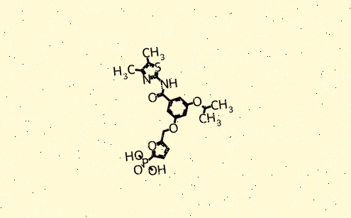 Cc1nc(NC(=O)c2cc(OCc3ccc(P(=O)(O)O)o3)cc(OC(C)C)c2)sc1C